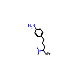 CCCC(CCCc1ccc(N)cc1)N(C)C